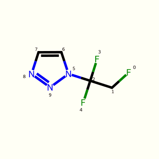 FCC(F)(F)n1ccnn1